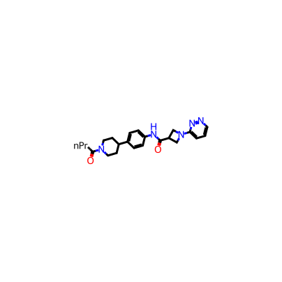 CCCC(=O)N1CCC(c2ccc(NC(=O)C3CN(c4cccnn4)C3)cc2)CC1